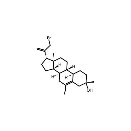 C=C(CBr)[C@H]1CC[C@H]2[C@@H]3CC(F)=C4C[C@@](C)(O)CC[C@@H]4[C@H]3CC[C@]12C